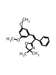 COc1cc(C=C(C2=NC(C)(C)CO2)c2ccccc2)cc(OC)c1